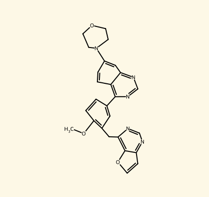 COc1ccc(-c2ncnc3cc(N4CCOCC4)ccc23)cc1Cc1ncnc2ccoc12